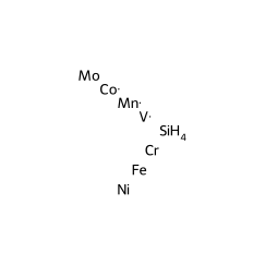 [Co].[Cr].[Fe].[Mn].[Mo].[Ni].[SiH4].[V]